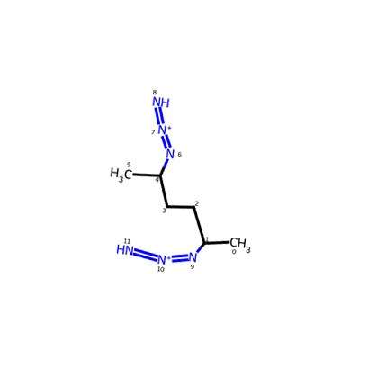 CC(CCC(C)N=[N+]=N)N=[N+]=N